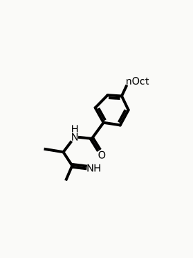 CCCCCCCCc1ccc(C(=O)NC(C)C(C)=N)cc1